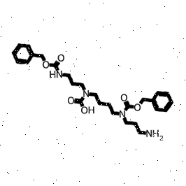 NCCCN(CCCCN(CCCNC(=O)OCc1ccccc1)C(=O)O)C(=O)OCc1ccccc1